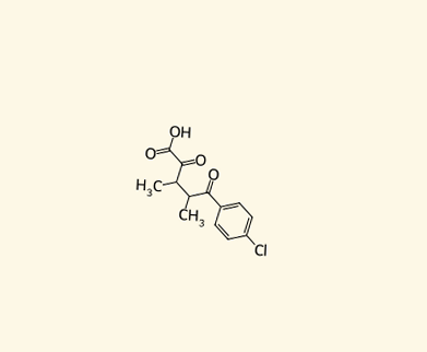 CC(C(=O)C(=O)O)C(C)C(=O)c1ccc(Cl)cc1